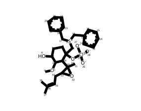 COC1C(O)CCC(C[S+](Cc2ccccc2)Cc2ccccc2)(O[Cl+3]([O-])([O-])[O-])C1C1(C)OC1CC=C(C)C